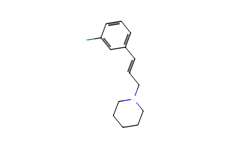 Clc1cccc(C=CCN2CC[CH]CC2)c1